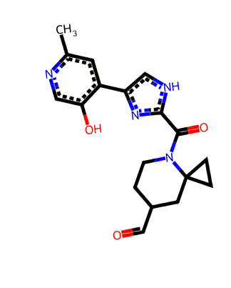 Cc1cc(-c2c[nH]c(C(=O)N3CCC(C=O)CC34CC4)n2)c(O)cn1